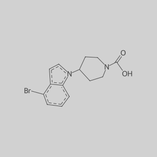 O=C(O)N1CCC(n2ccc3c(Br)cccc32)CC1